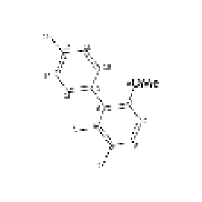 COc1ccc(C)c(C)c1-c1ccc(C)cc1